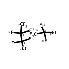 CCC(F)(F)C(F)(F)C(F)(F)F.CCC(F)(F)C(F)(F)F